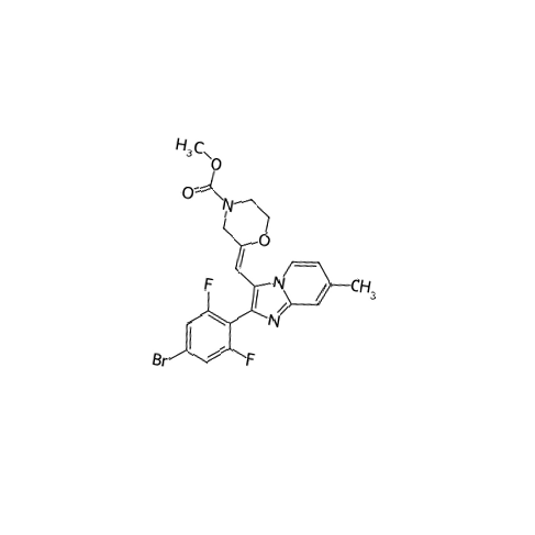 COC(=O)N1CCOC(=Cc2c(-c3c(F)cc(Br)cc3F)nc3cc(C)ccn23)C1